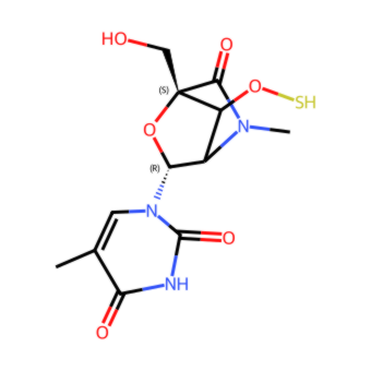 Cc1cn([C@@H]2O[C@]3(CO)C(=O)N(C)C2C3OS)c(=O)[nH]c1=O